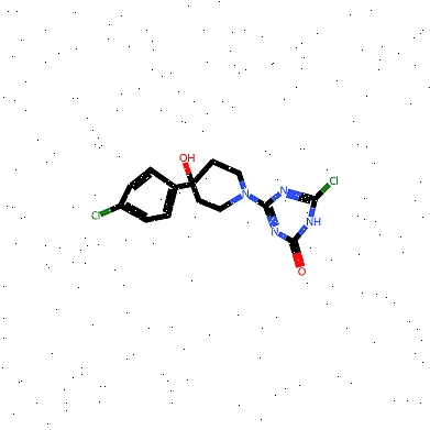 O=c1nc(N2CCC(O)(c3ccc(Cl)cc3)CC2)nc(Cl)[nH]1